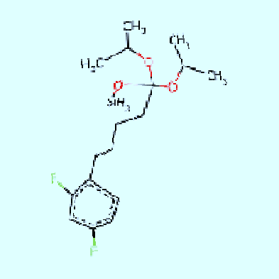 CC(C)OC(CCCCc1ccc(F)cc1F)(O[SiH3])OC(C)C